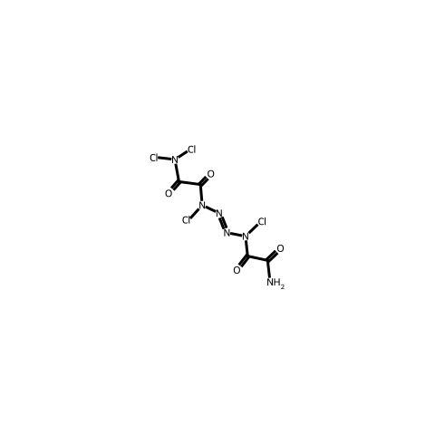 NC(=O)C(=O)N(Cl)N=NN(Cl)C(=O)C(=O)N(Cl)Cl